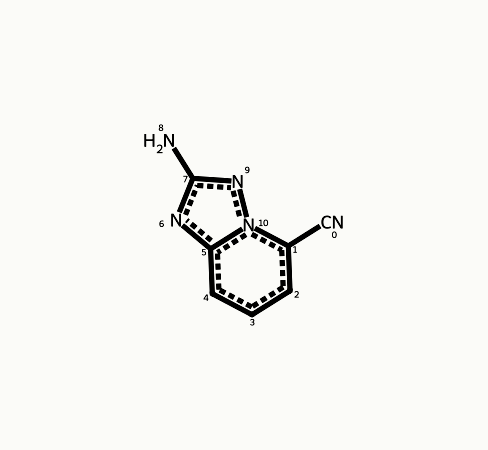 N#Cc1cccc2nc(N)nn12